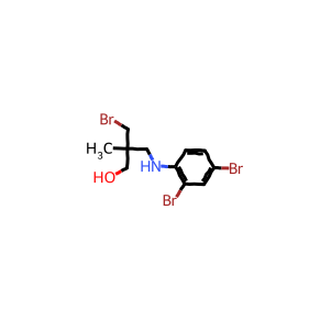 CC(CO)(CBr)CNc1ccc(Br)cc1Br